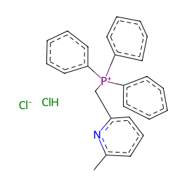 Cc1cccc(C[P+](c2ccccc2)(c2ccccc2)c2ccccc2)n1.Cl.[Cl-]